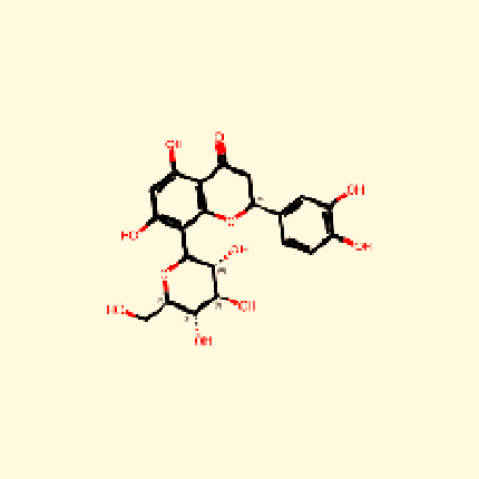 O=C1C[C@@H](c2ccc(O)c(O)c2)Oc2c1c(O)cc(O)c2C1O[C@H](CO)[C@@H](O)[C@H](O)[C@H]1O